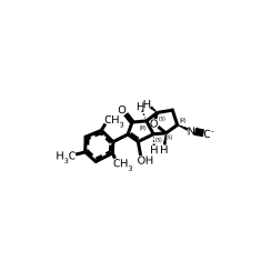 [C-]#[N+][C@@H]1C[C@@H]2O[C@H]1[C@H]1C(O)=C(c3c(C)cc(C)cc3C)C(=O)[C@H]12